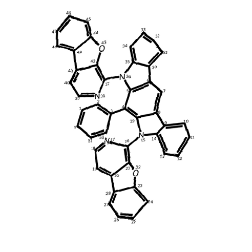 c1ccc(-c2c3c(cc4c5ccccc5n(-c5nccc6c5oc5ccccc56)c24)c2ccccc2n3-c2nccc3c2oc2ccccc23)cc1